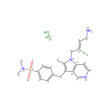 Cc1c(Cc2ccc(S(=O)(=O)N(C)C)cc2)c2cnccc2n1C/C(F)=C/CN.Cl.Cl